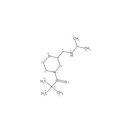 CC(C)NCC1CN(C(=O)C(C)(C)C)CCO1